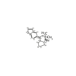 CC1(C)CN(c2ccc3sccc3c2)C2CCCCC2N1